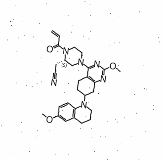 C=CC(=O)N1CCN(c2nc(OC)nc3c2CCC(N2CCCc4cc(OC)ccc42)C3)C[C@@H]1CC#N